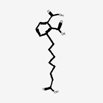 O=C(O)CCCCCCCc1cccc(C(=O)O)c1C(=O)O